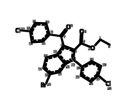 CCOC(=O)c1c(C(=O)c2ccc(Cl)cc2)c2ccc(Br)cc2n1-c1ccc(Cl)cc1